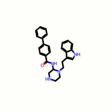 O=C(NC1CNCCN1CCc1c[nH]c2ccccc12)c1ccc(-c2ccccc2)cc1